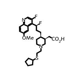 COc1ccc2ncc(F)c([C@@H](F)CC[C@@H]3CCN(CCSC4CCCC4)C[C@@H]3CC(=O)O)c2c1